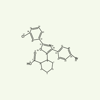 O=C(O)C1CCCCC1c1oc(-c2cccc(Cl)c2)nc1-c1ccc(Br)cc1